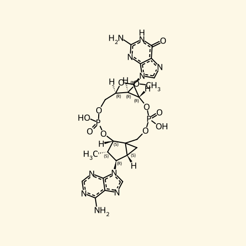 CO[C@H]1[C@H]2OP(=O)(O)OCC34C[C@@H]3[C@@H](n3cnc5c(N)ncnc53)[C@H](C)[C@@H]4OP(=O)(O)OC[C@H]1O[C@H]2n1cnc2c(=O)[nH]c(N)nc21